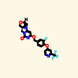 O=c1nc(OCc2ccc(Oc3ccnc(C(F)(F)F)c3)c(F)c2)cc2n1C[C@@]13CO[C@H](CN21)C3